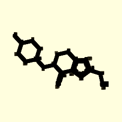 CC1CCN(CC2CCc3sc(CO)cc3C2=O)CC1